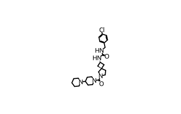 O=C(NCc1ccc(Cl)cc1)N[C@H]1C[C@]2(CCN(C(=O)N3CCC(N4CCCCC4)CC3)C2)C1